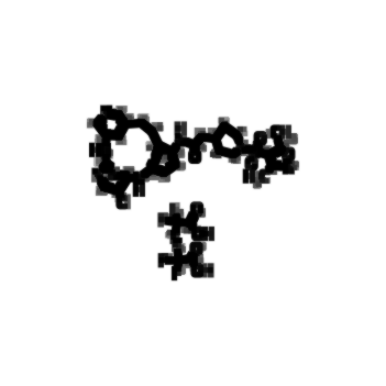 Cc1noc(C)c1S(=O)(=O)N1CCC(CC(=O)Nc2ccc3cc2CCc2cncc(c2)Nc2ncc(Cl)c(n2)N3)CC1.O=C(O)C(F)(F)F.O=C(O)C(F)(F)F